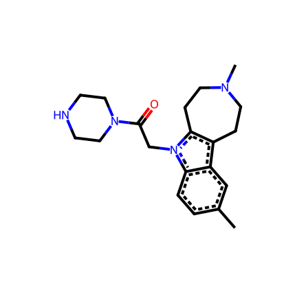 Cc1ccc2c(c1)c1c(n2CC(=O)N2CCNCC2)CCN(C)CC1